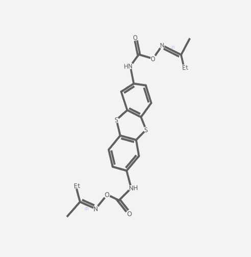 CC/C(C)=N\OC(=O)Nc1ccc2c(c1)Sc1ccc(NC(=O)O/N=C(/C)CC)cc1S2